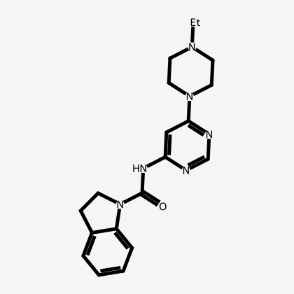 CCN1CCN(c2cc(NC(=O)N3CCc4ccccc43)ncn2)CC1